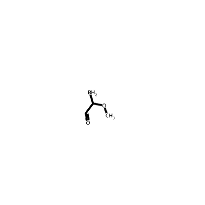 BC(C=O)OC